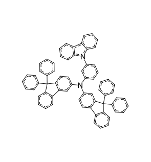 c1ccc(C2(c3ccccc3)c3ccccc3-c3cc(N(c4cccc(-n5c6ccccc6c6ccccc65)c4)c4ccc5c(c4)C(c4ccccc4)(c4ccccc4)c4ccccc4-5)ccc32)cc1